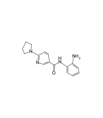 Nc1ccccc1NC(=O)c1ccc(N2CCCC2)nc1